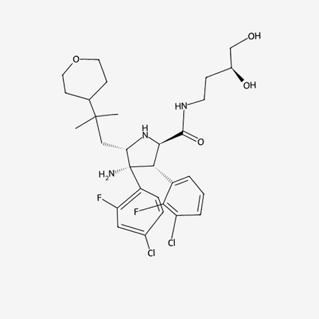 CC(C)(C[C@@H]1N[C@@H](C(=O)NCC[C@H](O)CO)[C@H](c2cccc(Cl)c2F)[C@@]1(N)c1ccc(Cl)cc1F)C1CCOCC1